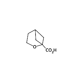 O=C(O)C12CC(CCO1)C2